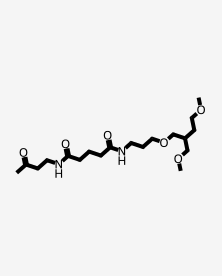 COCCC(COC)COCCCNC(=O)CCCC(=O)NCCC(C)=O